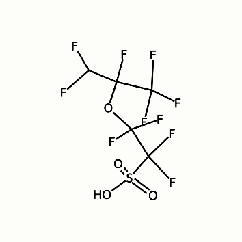 O=S(=O)(O)C(F)(F)C(F)(F)OC(F)(C(F)F)C(F)(F)F